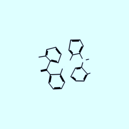 O=C(c1ccccc1O)c1ccccc1O.[O-][S+](c1ccccc1O)c1ccccc1O